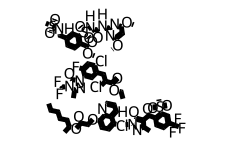 CCCCCC(C)OC(=O)COc1ccc(Cl)c2cccnc12.CCOC(=O)C(Cl)Cc1cc(-n2nc(C)n(C(F)F)c2=O)c(F)cc1Cl.COC(=O)c1ccc(CNS(C)(=O)=O)cc1S(=O)(=O)NC(=O)Nc1nc(OC)cc(OC)n1.Cc1nn(C)c(O)c1C(=O)c1ccc(C(F)(F)F)cc1S(C)(=O)=O